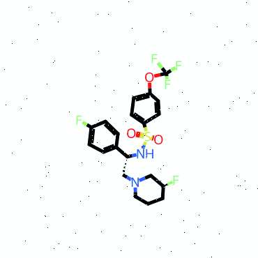 O=S(=O)(N[C@H](CN1CCC[C@H](F)C1)c1ccc(F)cc1)c1ccc(OC(F)(F)F)cc1